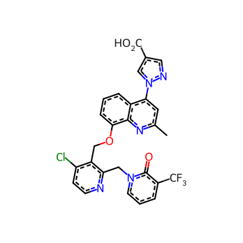 Cc1cc(-n2cc(C(=O)O)cn2)c2cccc(OCc3c(Cl)ccnc3Cn3cccc(C(F)(F)F)c3=O)c2n1